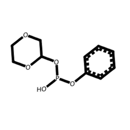 OP(Oc1ccccc1)OC1COCCO1